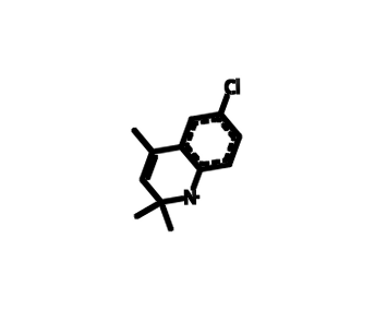 CC1=CC(C)(C)[N]c2ccc(Cl)cc21